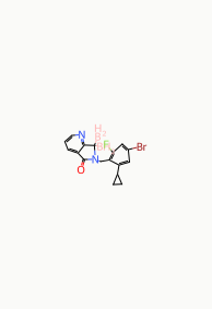 BC1(B)c2ncccc2C(=O)N1Cc1c(F)cc(Br)cc1C1CC1